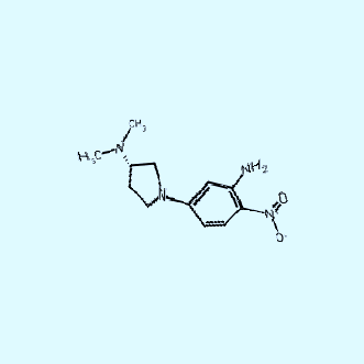 CN(C)[C@H]1CCN(c2ccc([N+](=O)[O-])c(N)c2)C1